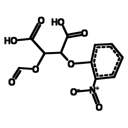 O=COC(C(=O)O)C(Oc1ccccc1[N+](=O)[O-])C(=O)O